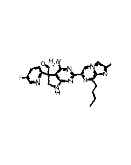 CCCCc1nc(-c2nc(N)c3c(n2)NCC3(C=O)c2ccc(F)cn2)cn2cc(C)nc12